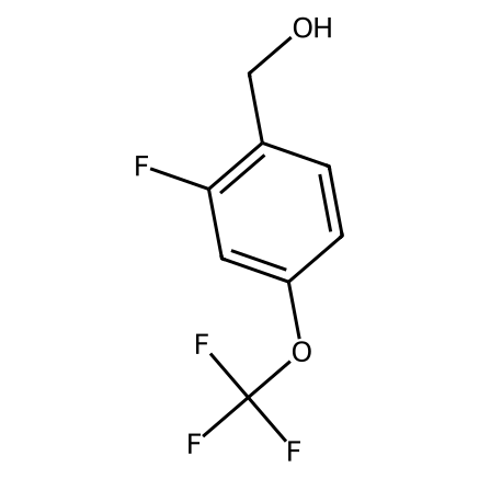 OCc1ccc(OC(F)(F)F)cc1F